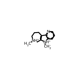 [CH2-][NH+]1CCCC2=C(C1)[NH+]([CH2-])c1cccnc12